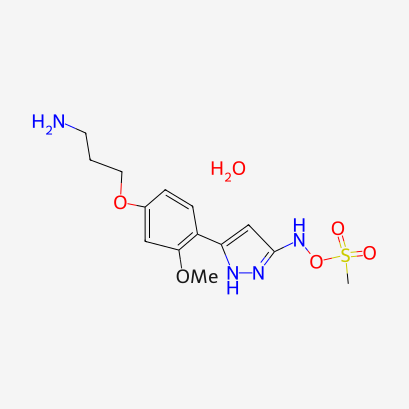 COc1cc(OCCCN)ccc1-c1cc(NOS(C)(=O)=O)n[nH]1.O